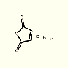 O=C1C=CC(=O)O1.[O].[P].[V]